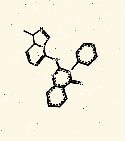 CC1N=CN2C(Nc3nc4ccccc4c(=O)n3-c3ccccc3)=CC=CC12